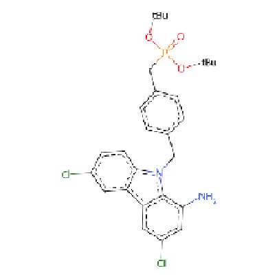 CC(C)(C)OP(=O)(Cc1ccc(Cn2c3ccc(Cl)cc3c3cc(Cl)cc(N)c32)cc1)OC(C)(C)C